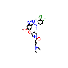 CCN(CC)C/C=C/C(=O)N1CC[C@H](Oc2cc3c(Nc4ccc(F)c(Cl)c4F)ncnc3cc2OC)C1